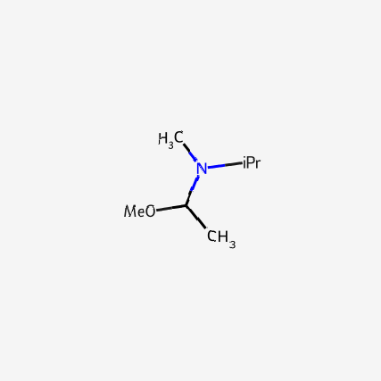 COC(C)N(C)C(C)C